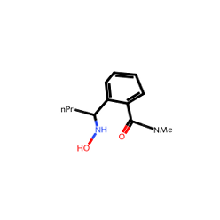 CCCC(NO)c1ccccc1C(=O)NC